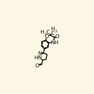 CC1(C)Oc2ccc(C3=NNC(C=O)CC3)cc2NC1=O